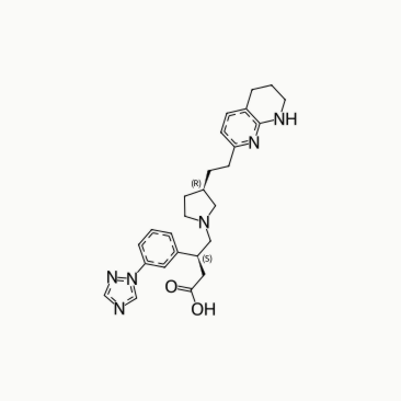 O=C(O)C[C@H](CN1CC[C@@H](CCc2ccc3c(n2)NCCC3)C1)c1cccc(-n2cncn2)c1